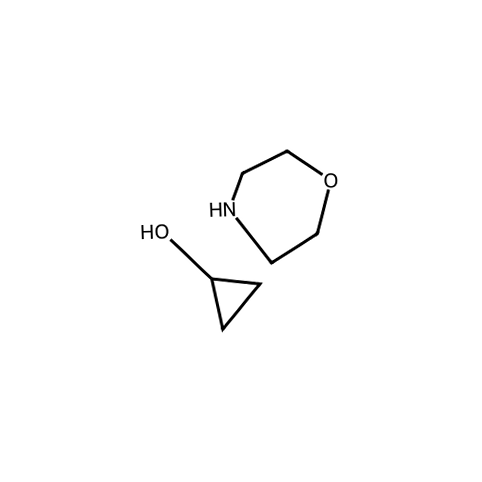 C1COCCN1.OC1CC1